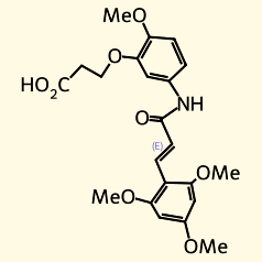 COc1cc(OC)c(/C=C/C(=O)Nc2ccc(OC)c(OCCC(=O)O)c2)c(OC)c1